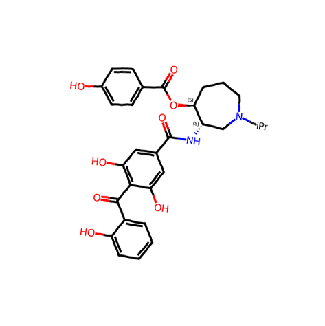 CC(C)N1CCC[C@H](OC(=O)c2ccc(O)cc2)[C@@H](NC(=O)c2cc(O)c(C(=O)c3ccccc3O)c(O)c2)C1